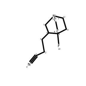 N#CCCC1CN2CCC1(F)CC2